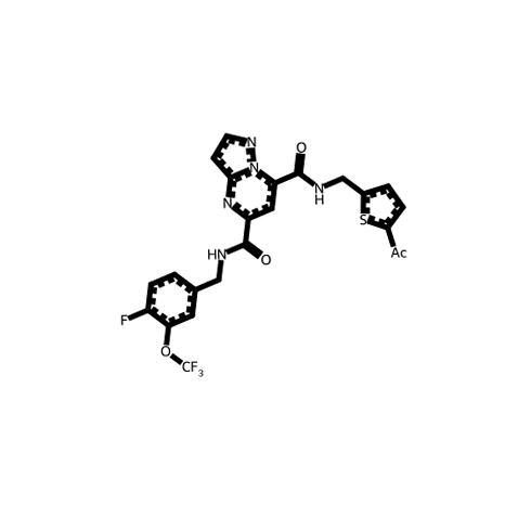 CC(=O)c1ccc(CNC(=O)c2cc(C(=O)NCc3ccc(F)c(OC(F)(F)F)c3)nc3ccnn23)s1